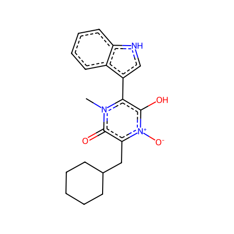 Cn1c(-c2c[nH]c3ccccc23)c(O)[n+]([O-])c(CC2CCCCC2)c1=O